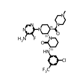 CN1CCN(C(=O)[C@@H]2CCN(c3ncnc(N)c3F)C[C@H]2N2CCC[C@H](Nc3cc(Cl)cc(C(F)(F)F)c3)C2=O)CC1